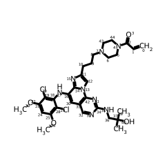 C=CC(=O)N1CCN(CCCc2cn3c(n2)c(Nc2c(Cl)c(OC)cc(OC)c2Cl)cc2cnc(NCC(C)(C)O)nc23)CC1